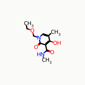 CCOCn1cc(C)c(O)c(C(=O)NC)c1=O